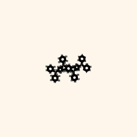 c1ccc(N(c2ccccc2)c2cc3c(s2)c2cc4c(cc2n3-c2ccccc2)c2sc(N(c3ccccc3)c3ccccc3)cc2n4-c2ccccc2)cc1